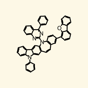 C1=Cc2cc3c(cc2N(c2nc(-c4ccccc4)c4ccccc4n2)c2ccc(-c4cccc5c4oc4ccccc45)cc21)c1ccccc1n3-c1ccccc1